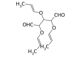 CC=COC(C=O)C(OC=CC)C(C=O)OC=CC